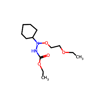 CCOCCON(NC(=O)OCC)C1CCCCC1